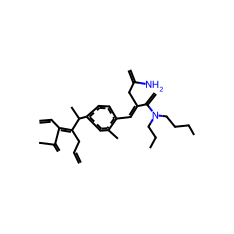 C=CC/C(=C(/C=C)C(=C)C)C(C)c1ccc(/C=C(\CC(=C)N)C(=C)N(CCC)CCCC)c(C)c1